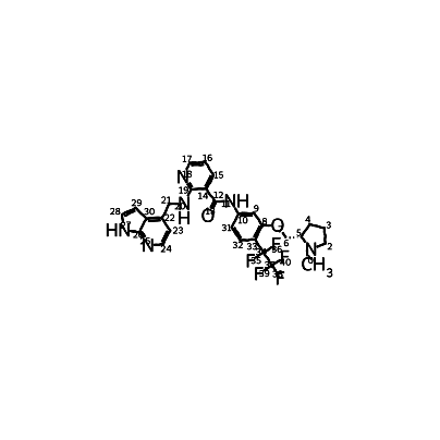 CN1CCC[C@H]1COc1cc(NC(=O)c2cccnc2NCc2ccnc3[nH]ccc23)ccc1C(F)(F)C(F)(F)F